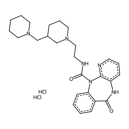 Cl.Cl.O=C1Nc2cccnc2N(C(=O)NCCN2CCCC(CN3CCCCC3)C2)c2ccccc21